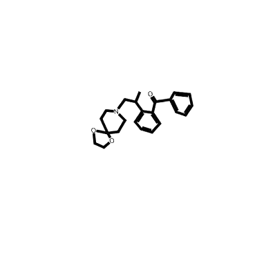 CC(CN1CCC2(CC1)OCCO2)c1ccccc1C(=O)c1ccccc1